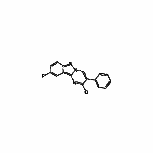 Fc1ccc2nn3cc(-c4ccccc4)c(Cl)nc3c2c1